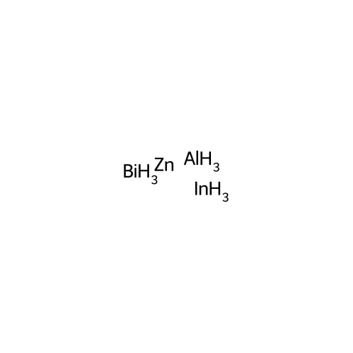 [AlH3].[BiH3].[InH3].[Zn]